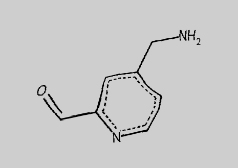 NCc1ccnc(C=O)c1